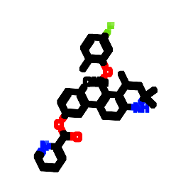 COc1ccc(OC(=O)c2ccccn2)cc1-c1ccc2c(c1COc1cc(F)ccc1C)C(C)=CC(C)(C)N2